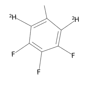 [2H]c1c(C)c([2H])c(F)c(F)c1F